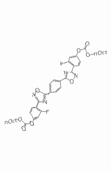 CCCCCCCCOC(=O)Oc1ccc(-c2noc(-c3ccc(-c4nc(-c5ccc(OC(=O)OCCCCCCCC)cc5F)no4)cc3)n2)c(F)c1